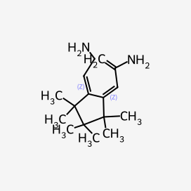 C=C(N)/C=C1\C(=C/CN)C(C)(C)C(C)(C)C1(C)C